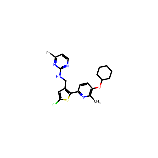 Cc1nc(-c2sc(Cl)cc2CNc2nccc(C(C)C)n2)ccc1OC1CCCCC1